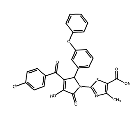 COC(=O)c1sc(N2C(=O)C(O)=C(C(=O)c3ccc(Cl)cc3)C2c2cccc(Oc3ccccc3)c2)nc1C